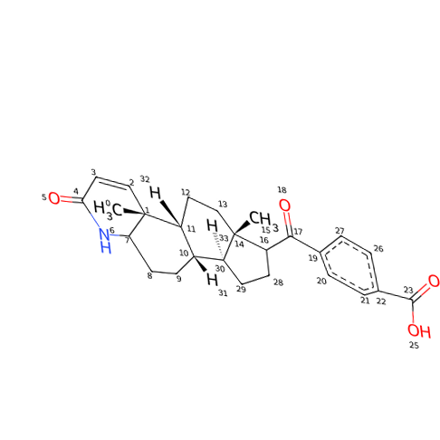 C[C@]12C=CC(=O)NC1CC[C@@H]1[C@H]2CC[C@]2(C)C(C(=O)c3ccc(C(=O)O)cc3)CC[C@@H]12